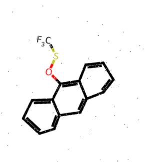 FC(F)(F)SOc1c2ccccc2cc2ccccc12